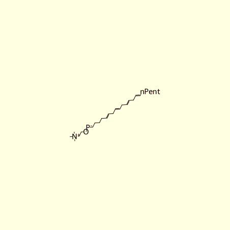 CCCCCC=CCC=CCC=CCC=CCCCC[P-]OCC[N+](C)(C)C